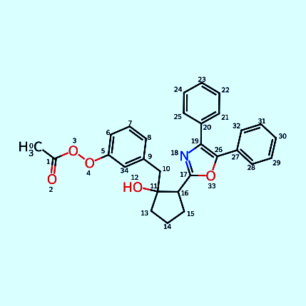 CC(=O)OOc1cccc(CC2(O)CCCC2c2nc(-c3ccccc3)c(-c3ccccc3)o2)c1